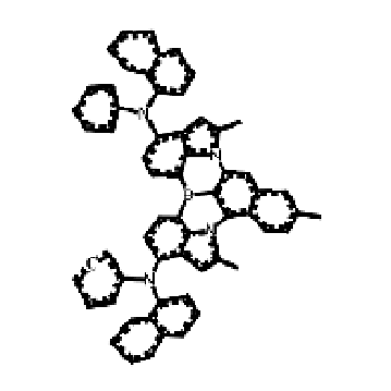 Cc1ccc2c3c4c(cc2c1)-n1c(C)cc2c(N(c5ccccc5)c5cccc6ccccc56)ccc(c21)B4c1ccc(N(c2ccccc2)c2cccc4ccccc24)c2cc(C)n-3c12